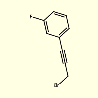 Fc1cccc(C#CCBr)c1